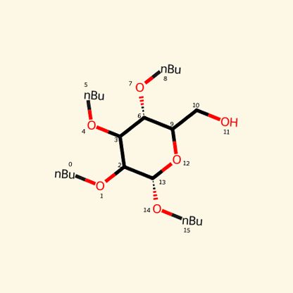 CCCCOC1C(OCCCC)[C@H](OCCCC)C(CO)O[C@@H]1OCCCC